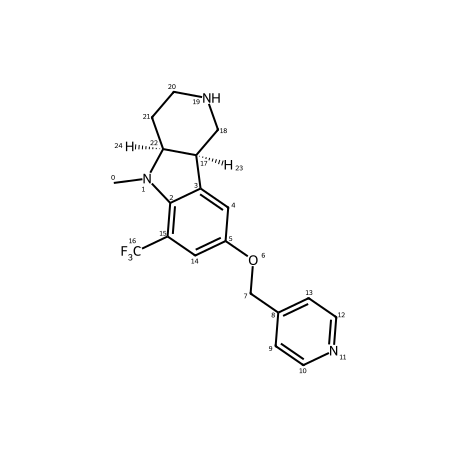 CN1c2c(cc(OCc3ccncc3)cc2C(F)(F)F)[C@@H]2CNCC[C@@H]21